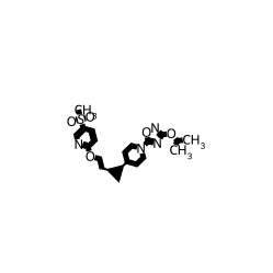 CC(C)Oc1noc(N2CCC([C@H]3C[C@H]3CCOc3ccc(S(C)(=O)=O)cn3)CC2)n1